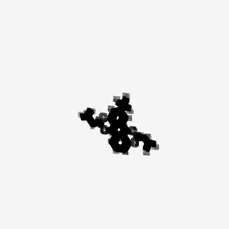 CC(C)CC(=O)Oc1c2ccccc2c(OC(=O)CC(C)C)c2cc(C(C)(C)C)ccc12